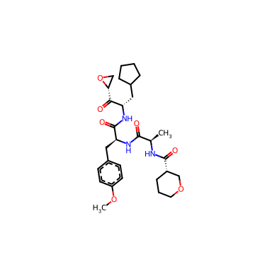 COc1ccc(C[C@H](NC(=O)[C@@H](C)NC(=O)[C@H]2CCCOC2)C(=O)N[C@@H](CC2CCCC2)C(=O)[C@H]2CO2)cc1